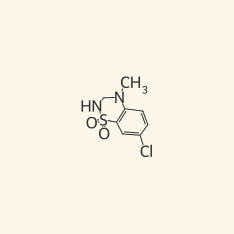 CN1CNS(=O)(=O)c2cc(Cl)ccc21